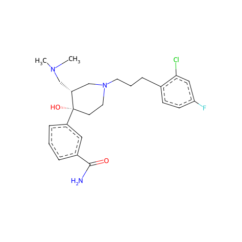 CN(C)C[C@@H]1CN(CCCc2ccc(F)cc2Cl)CC[C@@]1(O)c1cccc(C(N)=O)c1